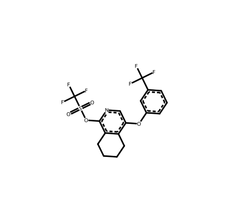 O=S(=O)(Oc1ncc(Oc2cccc(C(F)(F)F)c2)c2c1CCCC2)C(F)(F)F